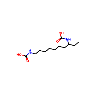 CCC(CCCCCCCNC(=O)O)NC(=O)O